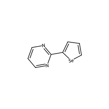 c1cnc(-c2ccc[se]2)nc1